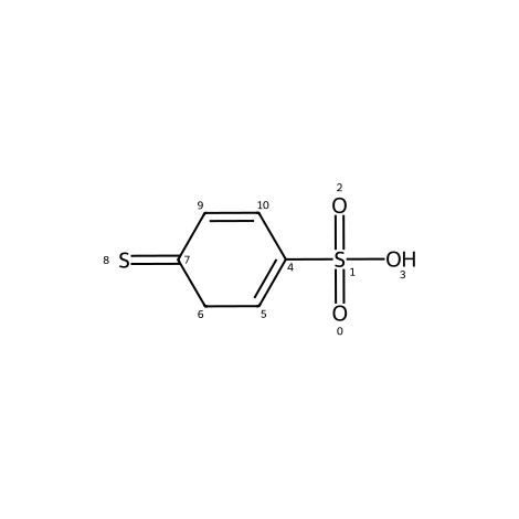 O=S(=O)(O)C1=CCC(=S)C=C1